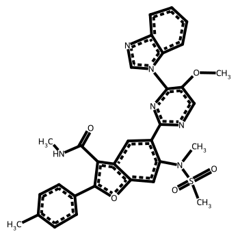 CNC(=O)c1c(-c2ccc(C)cc2)oc2cc(N(C)S(C)(=O)=O)c(-c3ncc(OC)c(-n4cnc5ccccc54)n3)cc12